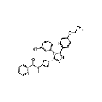 CCOc1ccc(-c2nnc([C@H]3C[C@H](NC(=O)c4ccccn4)C3)n2-c2cccc(Cl)c2)nc1